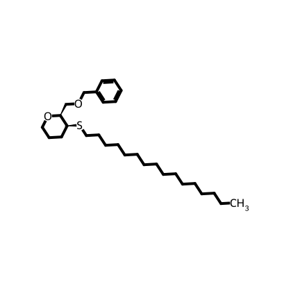 CCCCCCCCCCCCCCCCS[C@H]1CCCO[C@H]1COCc1ccccc1